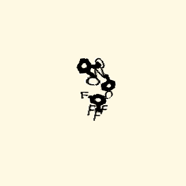 O=C1c2ccccc2C(=O)N1Cc1ccc(Oc2cc(F)cc(C(F)(F)F)c2)cc1